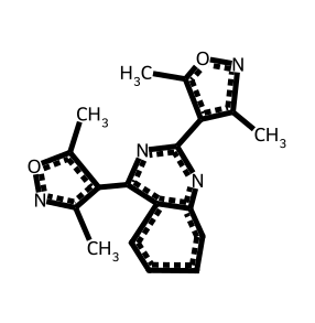 Cc1noc(C)c1-c1nc(-c2c(C)noc2C)c2ccccc2n1